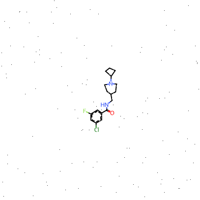 O=C(NCC1CCN(C2CCC2)CC1)c1cc(F)cc(Cl)c1